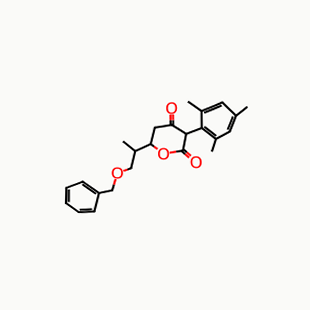 Cc1cc(C)c(C2C(=O)CC(C(C)COCc3ccccc3)OC2=O)c(C)c1